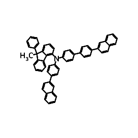 CC1(c2ccccc2)c2ccccc2-c2c(N(c3ccc(-c4ccc(-c5ccc6ccccc6c5)cc4)cc3)c3ccc(-c4ccc5ccccc5c4)cc3)cccc21